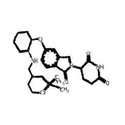 CC1(C)CC(CN[C@H]2CCCC[C@H]2Oc2ccc3c(c2)CN(C2CCC(=O)NC2=O)C3=O)CCO1